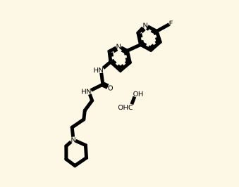 O=C(NCCCCN1CCCCC1)Nc1ccc(-c2ccc(F)nc2)nc1.O=CO